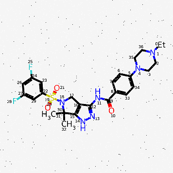 CCN1CCN(c2ccc(C(=O)Nc3n[nH]c4c3CN(S(=O)(=O)c3cc(F)cc(F)c3)C4(C)C)cc2)CC1